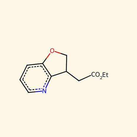 CCOC(=O)CC1COc2cccnc21